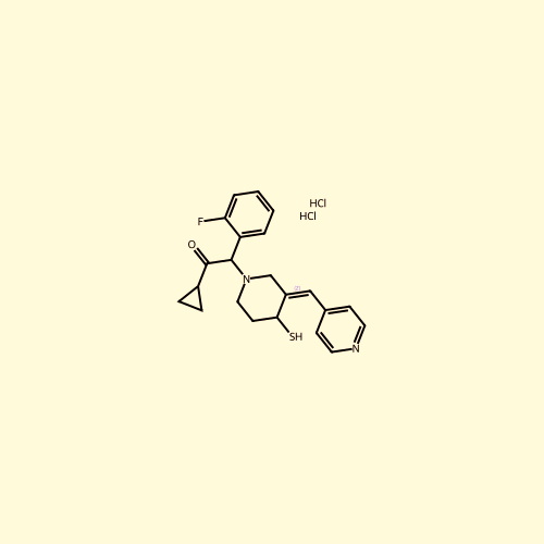 Cl.Cl.O=C(C1CC1)C(c1ccccc1F)N1CCC(S)/C(=C\c2ccncc2)C1